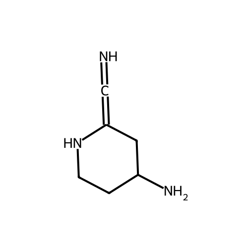 N=C=C1CC(N)CCN1